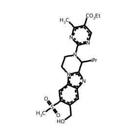 CCOC(=O)c1cnc(N2CCn3c(nc4cc(CO)c(S(C)(=O)=O)cc43)C2C(C)C)nc1C